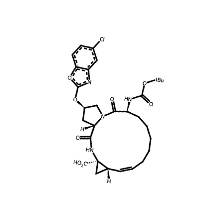 CC(C)(C)OC(=O)N[C@H]1CCCCC/C=C\[C@@H]2C[C@@]2(C(=O)O)NC(=O)[C@@H]2C[C@@H](Oc3nc4cc(Cl)ccc4o3)CN2C1=O